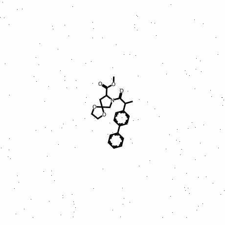 COC(=O)C1CC2(CN1C(=O)C(C)c1ccc(-c3ccccc3)cc1)OCCO2